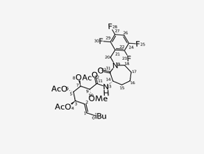 CCC(C)C=C[C@@H](OC(C)=O)[C@H](OC(C)=O)[C@@H](OC(C)=O)[C@@H](OC)C(=O)N[C@H]1CCCCN(Cc2c(F)c(F)cc(F)c2F)C1=O